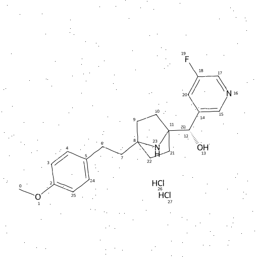 COc1ccc(CCC23CCC([C@@H](O)c4cncc(F)c4)(CC2)N3)cc1.Cl.Cl